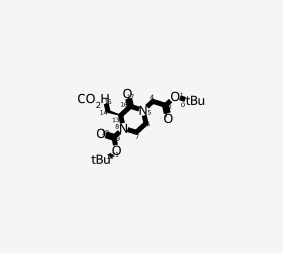 CC(C)(C)OC(=O)CN1CCN(C(=O)OC(C)(C)C)[C@@H](CC(=O)O)C1=O